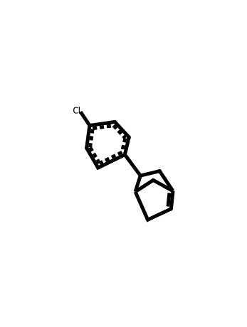 Clc1ccc(C2CC3=CCC2C3)cc1